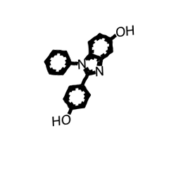 Oc1ccc(-c2nc3cc(O)ccc3n2-c2ccccc2)cc1